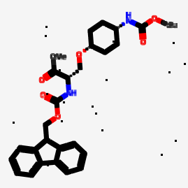 COC(=O)[C@H](CO[C@H]1CC[C@@H](NC(=O)OC(C)(C)C)CC1)NC(=O)OCC1c2ccccc2-c2ccccc21